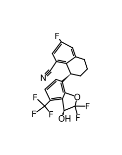 N#Cc1cc(F)cc2c1[C@H](c1ccc(C(F)(F)F)c3c1OC(F)(F)[C@H]3O)CCC2